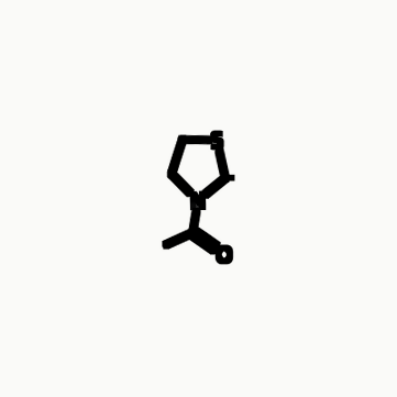 CC(=O)N1[CH]SCC1